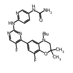 CCC(C)N1CC(C)(C)Oc2c(F)cc(-c3nc(Nc4ccc(NC(N)=O)cn4)ncc3F)cc21